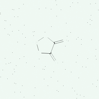 O=C1OBOC1=O